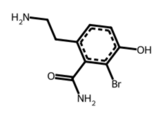 NCCc1ccc(O)c(Br)c1C(N)=O